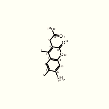 Cc1cc2c(C)c(CC(=O)C(C)C)c(=O)oc2cc1N